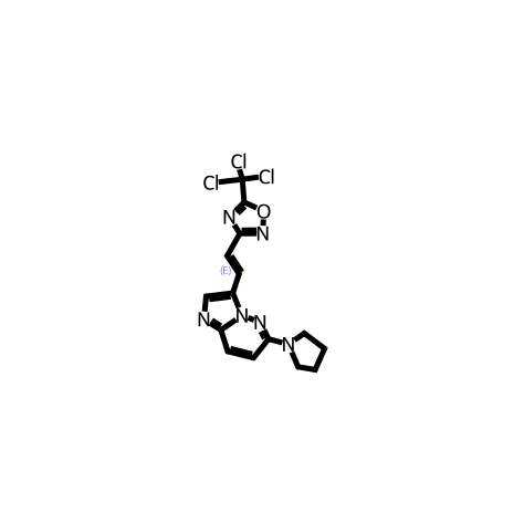 ClC(Cl)(Cl)c1nc(/C=C/c2cnc3ccc(N4CCCC4)nn23)no1